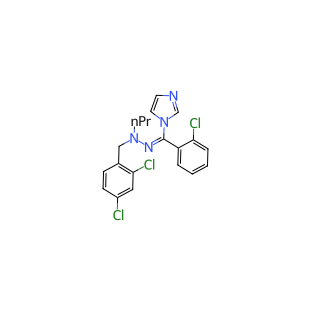 CCCN(Cc1ccc(Cl)cc1Cl)N=C(c1ccccc1Cl)n1ccnc1